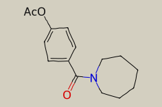 CC(=O)Oc1ccc(C(=O)N2CCCCCC2)cc1